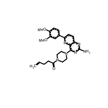 C=CCCC(=O)N1CCN(c2nc(N)nc3ccc(-c4ccc(OC)c(OC)c4)nc23)CC1